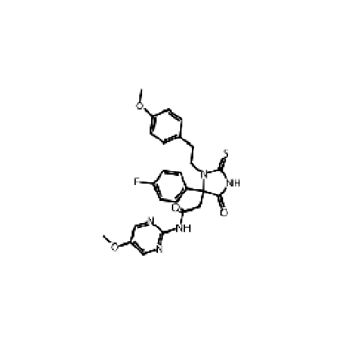 COc1ccc(CCN2C(=S)NC(=O)C2(CC(=O)Nc2ncc(OC)cn2)c2ccc(F)cc2)cc1